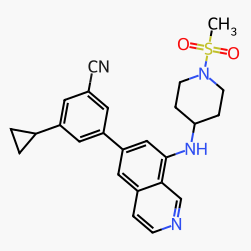 CS(=O)(=O)N1CCC(Nc2cc(-c3cc(C#N)cc(C4CC4)c3)cc3ccncc23)CC1